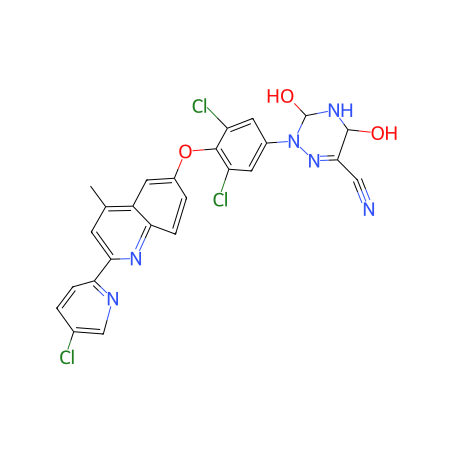 Cc1cc(-c2ccc(Cl)cn2)nc2ccc(Oc3c(Cl)cc(N4N=C(C#N)C(O)NC4O)cc3Cl)cc12